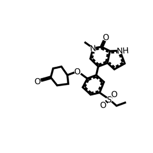 CCS(=O)(=O)c1ccc(OC2CCC(=O)CC2)c(-c2cn(C)c(=O)c3[nH]ccc23)c1